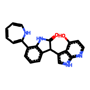 O=C1Nc2c(C3=CC=CC=CN3)cccc2C1c1c[nH]c2nccc(O)c12